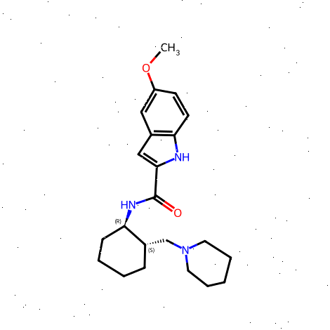 COc1ccc2[nH]c(C(=O)N[C@@H]3CCCC[C@H]3CN3CCCCC3)cc2c1